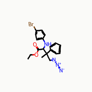 CCOC(=O)C(Nc1ccc(Br)cc1)C(C)(CN=[N+]=[N-])c1ccccc1